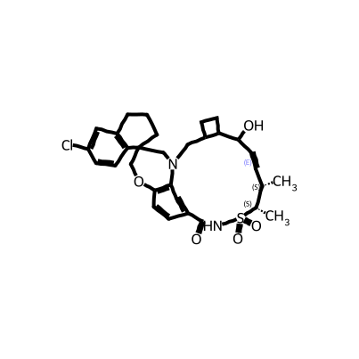 C[C@H]1/C=C/C(O)C2CCC2CN2CC3(CCCc4cc(Cl)ccc43)COc3ccc(cc32)C(=O)NS(=O)(=O)[C@H]1C